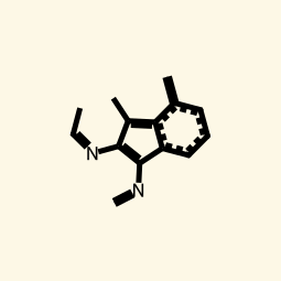 C=NC1=C(/N=C\C)C(C)=c2c1cccc2=C